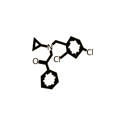 O=C(CN(Cc1ccc(Cl)cc1Cl)C1CC1)c1ccccc1